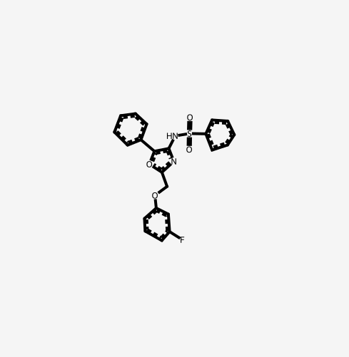 O=S(=O)(Nc1nc(COc2cccc(F)c2)oc1-c1ccccc1)c1ccccc1